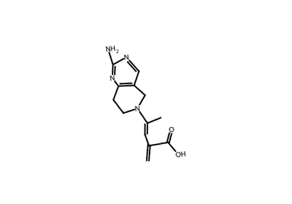 C=C(/C=C(\C)N1CCc2nc(N)ncc2C1)C(=O)O